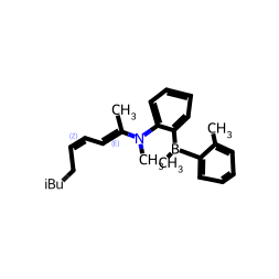 CCC(C)C/C=C\C=C(/C)N(C)c1ccccc1B(C)c1ccccc1C